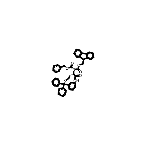 O=C(O)[C@H](CCSC(c1ccccc1)(c1ccccc1)c1ccccc1)N(C(=O)OCc1ccccc1)C(=O)OCC1c2ccccc2-c2ccccc21